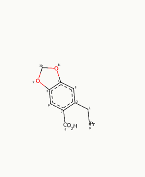 CC(C)Cc1cc2c(cc1C(=O)O)OCO2